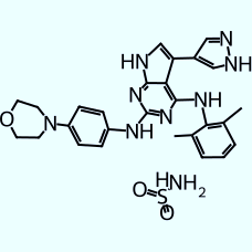 Cc1cccc(C)c1Nc1nc(Nc2ccc(N3CCOCC3)cc2)nc2[nH]cc(-c3cn[nH]c3)c12.N[SH](=O)=O